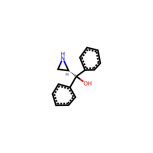 OC(c1ccccc1)(c1ccccc1)[C@@H]1CN1